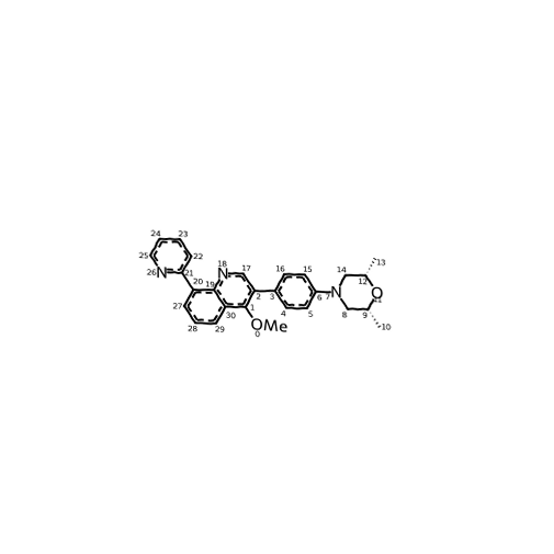 COc1c(-c2ccc(N3C[C@@H](C)O[C@@H](C)C3)cc2)cnc2c(-c3ccccn3)cccc12